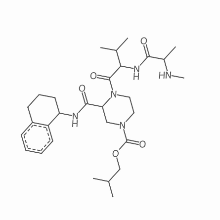 CNC(C)C(=O)NC(C(=O)N1CCN(C(=O)OCC(C)C)CC1C(=O)NC1CCCc2ccccc21)C(C)C